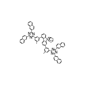 Cc1cc(-c2ccc3c(c2)C2(c4cccc(-c5cc(C)cc(-c6nc(-c7ccc8ccccc8c7)nc(-c7ccc8ccccc8c7)n6)c5)c4-3)C3CC4CC(C3)C2C4)cc(-c2nc(-c3ccc4ccccc4c3)nc(-c3ccc4ccccc4c3)n2)c1